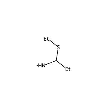 CCSC([NH])CC